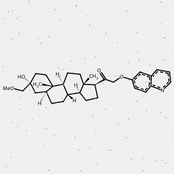 COC[C@@]1(O)CC[C@@]2(C)[C@@H](CC[C@@H]3[C@@H]2CC[C@]2(C)[C@@H](C(=O)COc4ccc5ncccc5c4)CC[C@@H]32)C1